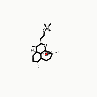 C[C@H]1[C@@H](CCO[Si](C)(C)C)O[C@@H]2O[C@]3(C)CCC4[C@H](C)CC[C@@H]1[C@]42OO3